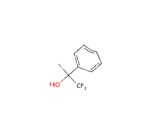 CC(O)(c1ccccc1)C(F)(F)F